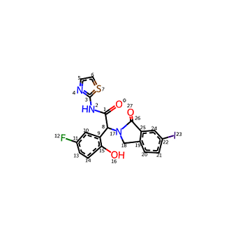 O=C(Nc1nccs1)C(c1cc(F)ccc1O)N1Cc2ccc(I)cc2C1=O